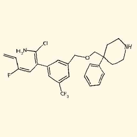 C=C/C(F)=C\C(=C(/N)Cl)c1cc(COCC2(c3ccccc3)CCNCC2)cc(C(F)(F)F)c1